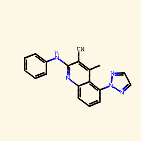 Cc1c(C#N)c(Nc2ccccc2)nc2cccc(-n3nccn3)c12